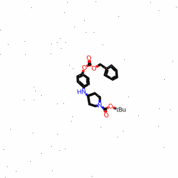 CC(C)(C)OC(=O)N1CCC(Nc2ccc(OC(=O)OCc3ccccc3)cc2)CC1